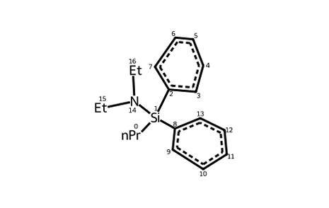 CCC[Si](c1ccccc1)(c1ccccc1)N(CC)CC